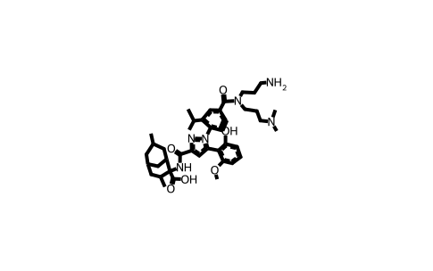 COc1cccc(O)c1-c1cc(C(=O)NC2(C(=O)O)C(C)CC3CC(C)CC2C3)nn1-c1c#cc(C(=O)N(CCCN)CCCN(C)C)cc1C(C)C